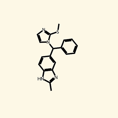 CSc1nccn1C(c1ccccc1)c1ccc2[nH]c(C)nc2c1